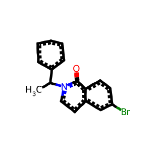 CC(c1ccccc1)n1ccc2cc(Br)ccc2c1=O